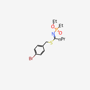 CCCC(=NP(=O)(CC)OCC)SCc1ccc(Br)cc1